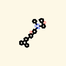 c1ccc(-c2nc(-c3ccc4c(c3)oc3cc(-c5ccc6c7ccccc7c7ccccc7c6c5)ccc34)nc(-c3cccc4oc5ccccc5c34)n2)cc1